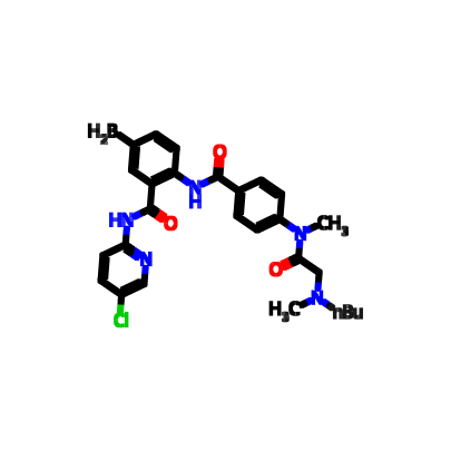 Bc1ccc(NC(=O)c2ccc(N(C)C(=O)CN(C)CCCC)cc2)c(C(=O)Nc2ccc(Cl)cn2)c1